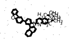 CC(C)[Si](c1ccc2nc(-n3c4ccc(-c5ccc6oc7ccccc7c6c5)cc4c4c5ccccc5ccc43)ccc2c1)(C(C)C)C(C)C